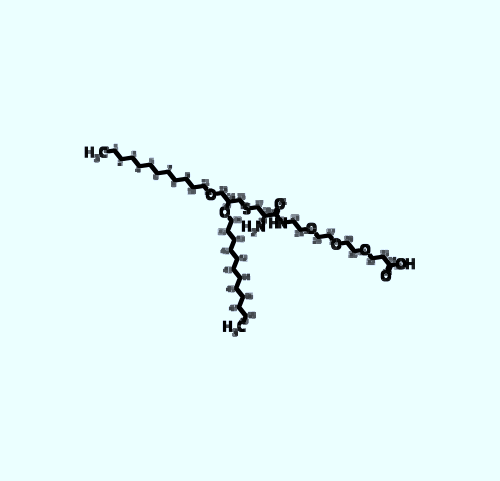 CCCCCCCCCCCCOCC(CSC[C@H](N)C(=O)NCCOCCOCCOCCC(=O)O)OCCCCCCCCCCCC